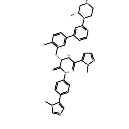 C[C@@H]1CNCCN1c1cc(-c2ccc(Cl)c(C[C@H](NC(=O)c3ccnn3C)C(=O)Nc3ccc(-c4cncn4C)cc3)c2)ccn1